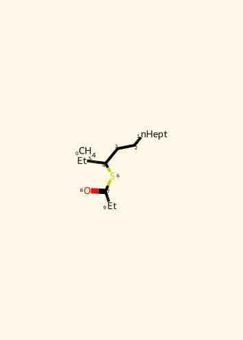 C.CCCCCCCCCC(CC)SC(=O)CC